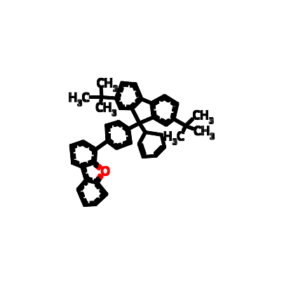 CC(C)(C)c1ccc2c(c1)C(c1ccc(-c3cccc4c3oc3ccccc34)cc1)(C1C=CC=CC1)c1cc(C(C)(C)C)ccc1-2